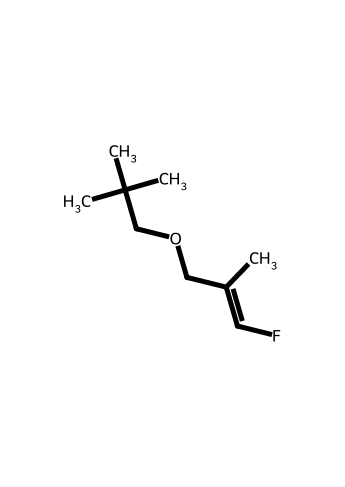 C/C(=C\F)COCC(C)(C)C